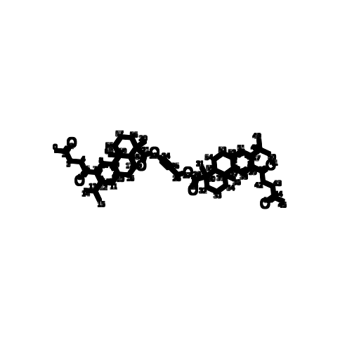 CC(=O)CCC(=O)c1cc2c(cc1C(C)C)CCC1C(C)(C(=O)OC#CCOC(=O)C3(C)CCCC4(C)c5cc(C(=O)CCC(C)=O)c(C(C)C)cc5CCC34)CCCC21C